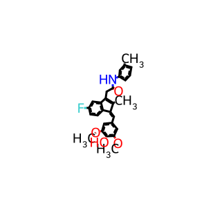 COc1cc(/C=C2/C(C)=C(CC(=O)Nc3cccc(C)c3)c3cc(F)ccc32)cc(OC)c1O